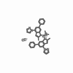 CC1=Cc2c(cc(-c3ccccc3)cc2-n2cccn2)[C@@H]1[Zr+2]([C@H]1C(C)=Cc2c1cc(-c1ccccc1)cc2-n1cccn1)=[Si](C)C.[Cl-].[Cl-]